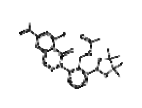 C=C(C)c1cc(F)c2c(=O)n(-c3cccc(B4OC(C)(C)C(C)(C)O4)c3COC(C)=O)ncc2c1